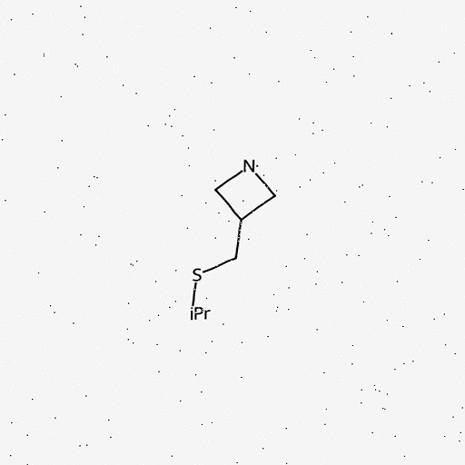 CC(C)SCC1C[N]C1